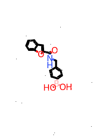 O=C(NCc1ccc(B(O)O)cc1)c1cc2ccccc2o1